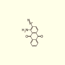 N#[N+]c1ccc2c(c1N)C(=O)c1ccccc1C2=O